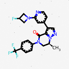 C[C@H]1CN(c2ccc(C(F)(F)F)cc2)C(=O)c2c(-c3ccnc(N4CC(F)C4)c3)cnn21